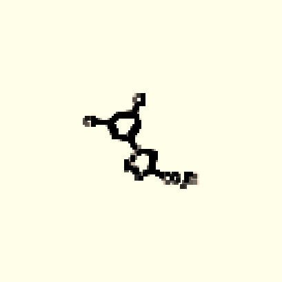 CCOC(=O)c1cn(-c2cc(Cl)cc(Cl)c2)nn1